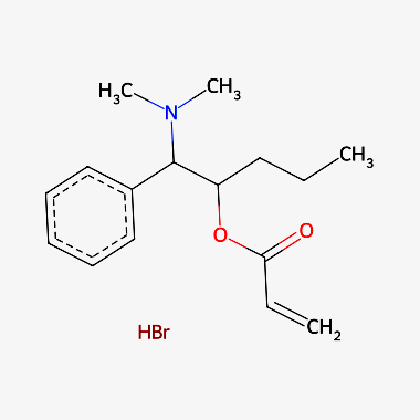 Br.C=CC(=O)OC(CCC)C(c1ccccc1)N(C)C